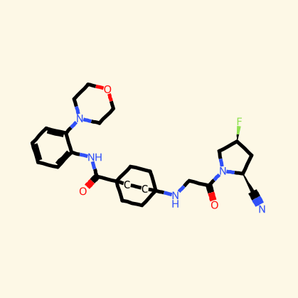 N#C[C@@H]1C[C@H](F)CN1C(=O)CNC12CCC(C(=O)Nc3ccccc3N3CCOCC3)(CC1)CC2